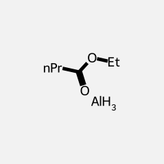 CCCC(=O)OCC.[AlH3]